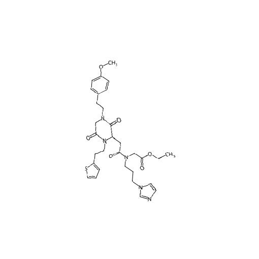 CCOC(=O)CN(CCCn1ccnc1)C(=O)CC1C(=O)N(CCc2ccc(OC)cc2)CC(=O)N1CCc1cccs1